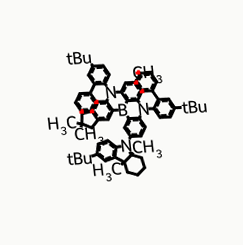 Cc1cc2c3c(c1)N(c1ccc(C(C)(C)C)cc1-c1ccccc1)c1cc4c(cc1B3c1cc(N3c5ccc(C(C)(C)C)cc5C5(C)CCCCC35C)ccc1N2c1ccc(C(C)(C)C)cc1-c1ccccc1)CC(C)(C)C4